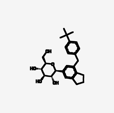 CC(C)(C)c1ccc(Cc2cc([C@@H]3O[C@H](CO)[C@@H](O)[C@H](O)[C@H]3O)cc3c2CCC3)cc1